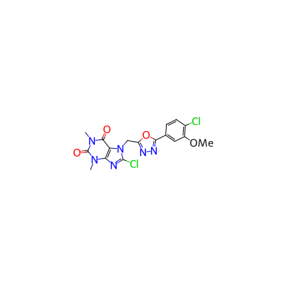 COc1cc(-c2nnc(Cn3c(Cl)nc4c3c(=O)n(C)c(=O)n4C)o2)ccc1Cl